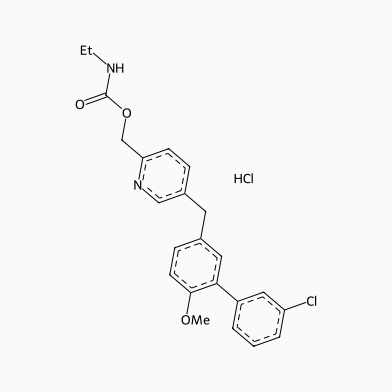 CCNC(=O)OCc1ccc(Cc2ccc(OC)c(-c3cccc(Cl)c3)c2)cn1.Cl